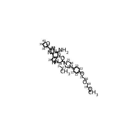 CCC[C@@H](C(=O)N1CCN(c2ccc(OCCOCCOC)cc2)CC1)n1ncc2c1nc(N)n1nc(-c3ccco3)nc21